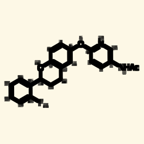 CC(=O)Nc1ccc(Oc2ccc3c(c2)CCC(c2ccccc2F)O3)nc1